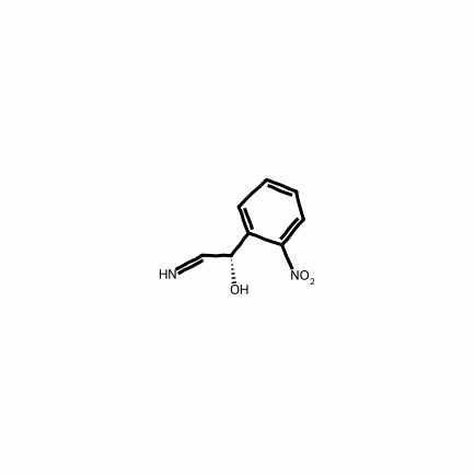 N=C[C@@H](O)c1ccccc1[N+](=O)[O-]